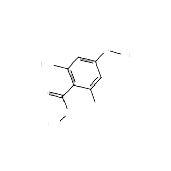 COC(=O)c1c(C)cc(OC)cc1I